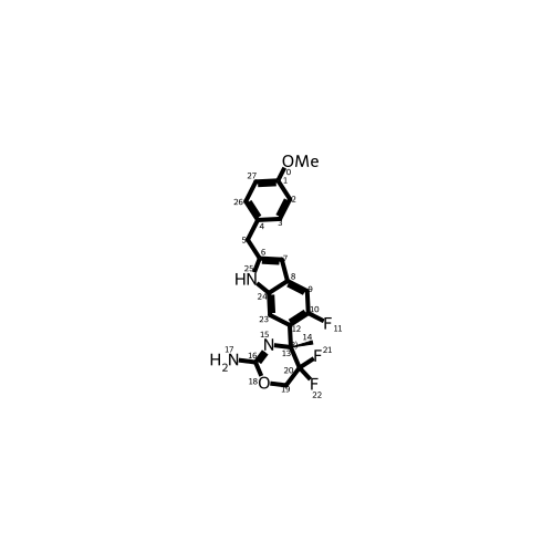 COc1ccc(Cc2cc3cc(F)c([C@@]4(C)N=C(N)OCC4(F)F)cc3[nH]2)cc1